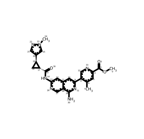 COC(=O)c1cc(C)c(-c2cc3cc(NC(=O)[C@@H]4C[C@H]4c4cnn(C)c4)ncc3c(N)n2)cn1